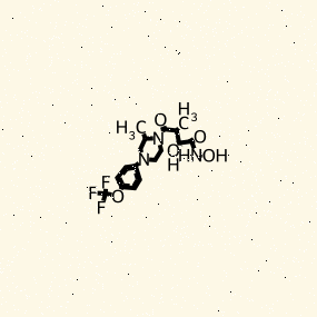 CC(C(=O)N1CCN(c2ccc(OC(F)(F)F)cc2)CC1C)[C@H](O)C(=O)NO